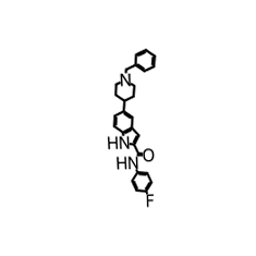 O=C(Nc1ccc(F)cc1)c1cc2cc(C3CCN(Cc4ccccc4)CC3)ccc2[nH]1